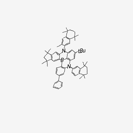 Cc1cc2c(cc1N1c3cc4c(cc3B3c5ccc(-c6ccccc6)cc5N(c5ccc6c(c5)C(C)(C)CCC6(C)C)c5cc(C(C)(C)C)cc1c53)C(C)(C)CC4(C)C)C(C)(C)CCC2(C)C